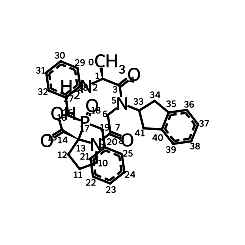 C[C@H](N)C(=O)N(CC(=O)N1CCC[C@]1(C(=O)O)P(=O)(Cc1ccccc1)Cc1ccccc1)C1Cc2ccccc2C1